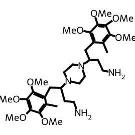 COc1c(C)c(CC(CCN)N2CCN(C(CCN)Cc3c(C)c(OC)c(OC)c(OC)c3OC)CC2)c(OC)c(OC)c1OC